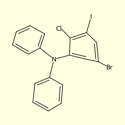 Clc1c(I)cc(Br)cc1N(c1ccccc1)c1ccccc1